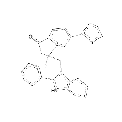 CC1(Cc2c(-c3ccccc3)[nH]c3ccccc23)CC(=O)c2ccc(-c3cccs3)cc21